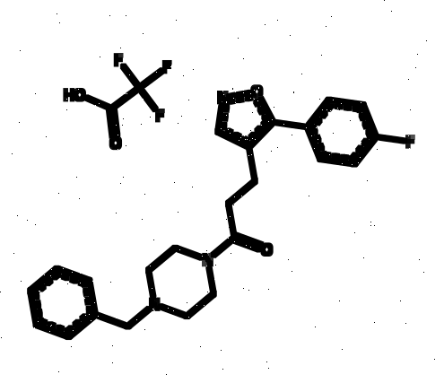 O=C(CCc1cnoc1-c1ccc(F)cc1)N1CCN(Cc2ccccc2)CC1.O=C(O)C(F)(F)F